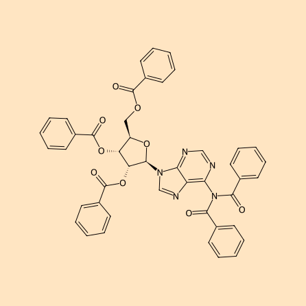 O=C(OC[C@H]1O[C@@H](n2cnc3c(N(C(=O)c4ccccc4)C(=O)c4ccccc4)ncnc32)[C@H](OC(=O)c2ccccc2)[C@@H]1OC(=O)c1ccccc1)c1ccccc1